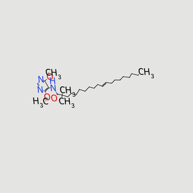 CCCCCCCCC=CCCCCCCCCC(C)(C)C(=O)Nc1c(OC)ncnc1OC